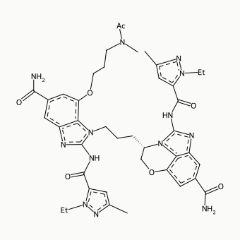 CCn1nc(C)cc1C(=O)Nc1nc2cc(C(N)=O)cc(OCCCN(C)C(C)=O)c2n1CCC[C@H]1COc2cc(C(N)=O)cc3nc(NC(=O)c4cc(C)nn4CC)n1c23